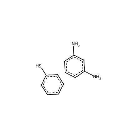 Nc1cccc(N)c1.Sc1ccccc1